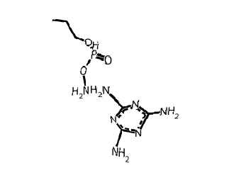 CCCO[PH](=O)ON.Nc1nc(N)nc(N)n1